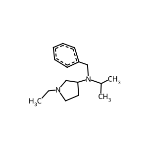 CCN1CCC(N(Cc2ccccc2)C(C)C)C1